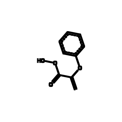 C=C(Oc1ccccc1)C(=O)OO